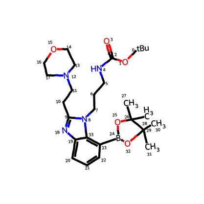 CC(C)(C)OC(=O)NCCCn1c(CCN2CCOCC2)nc2cccc(B3OC(C)(C)C(C)(C)O3)c21